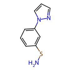 NSc1cccc(-n2cccn2)c1